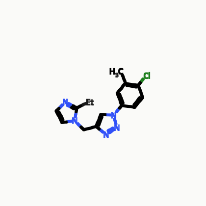 CCc1nccn1Cc1cn(-c2ccc(Cl)c(C)c2)nn1